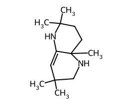 CC1(C)C=C2NC(C)(C)CCC2(C)NC1